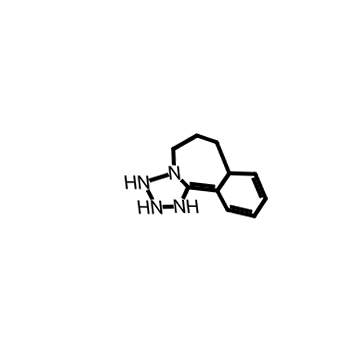 C1=CC2=C3NNNN3CCCC2C=C1